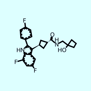 O=C(NCC1(O)CCC1)[C@H]1C[C@H](c2c(-c3ccc(F)cc3)[nH]c3c(F)cc(F)cc32)C1